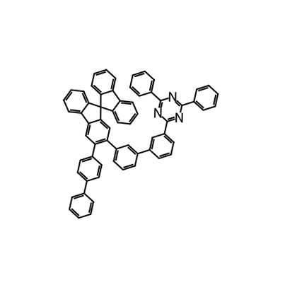 c1ccc(-c2ccc(-c3cc4c(cc3-c3cccc(-c5cccc(-c6nc(-c7ccccc7)nc(-c7ccccc7)n6)c5)c3)C3(c5ccccc5-c5ccccc53)c3ccccc3-4)cc2)cc1